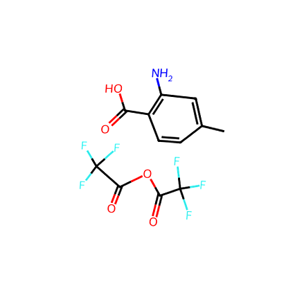 Cc1ccc(C(=O)O)c(N)c1.O=C(OC(=O)C(F)(F)F)C(F)(F)F